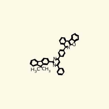 CC1(C)c2ccccc2-c2ccc(-c3nc(-c4ccccc4)cc(-c4ccc(-c5nc6oc7ccccc7c6c6ccccc56)cc4)n3)cc21